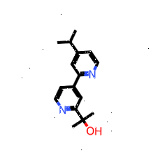 CC(C)c1ccnc(-c2ccnc(C(C)(C)O)c2)c1